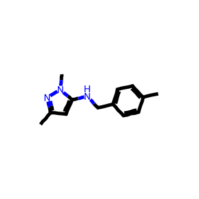 Cc1ccc(CNc2cc(C)nn2C)cc1